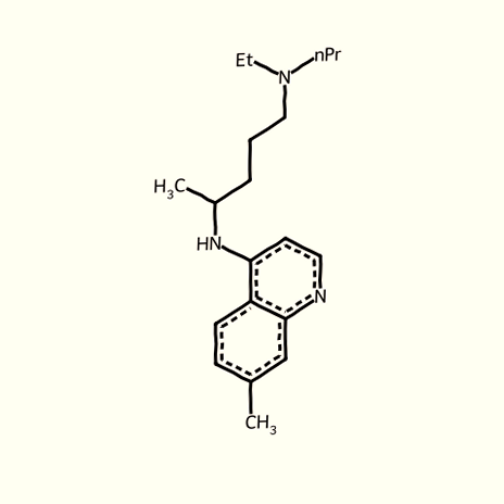 CCCN(CC)CCCC(C)Nc1ccnc2cc(C)ccc12